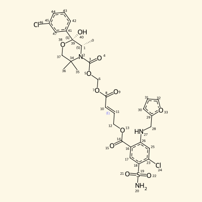 C[C@@H]1N(C(=O)OCOC(=O)/C=C/COC(=O)c2cc(S(N)(=O)=O)c(Cl)cc2NCc2ccco2)C(C)(C)CO[C@@]1(O)c1cccc(Cl)c1